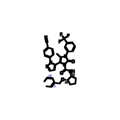 C/C=C\C(=C/C)CO[C@H]1CCC[C@@H]1NC(=O)n1c(-c2ccnn2-c2ccc(C#N)cc2)c(C)n(-c2cccc(C(F)(F)F)c2)c1=O